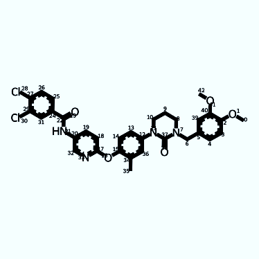 COc1ccc(CN2CCCN(c3ccc(Oc4ccc(NC(=O)c5ccc(Cl)c(Cl)c5)cn4)c(C)c3)C2=O)cc1OC